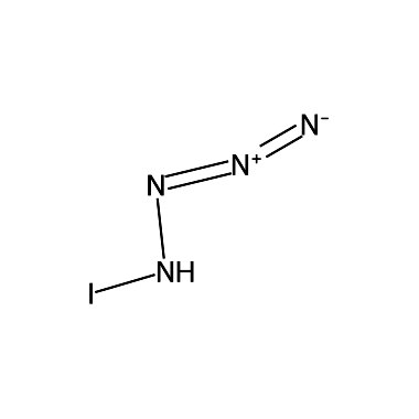 [N-]=[N+]=NNI